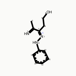 CC(=N)/C(CCO)=N\Nc1ccccc1